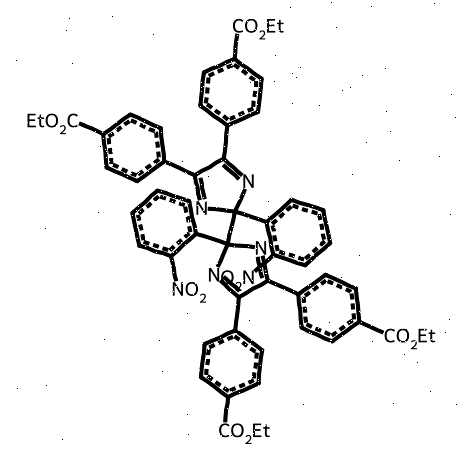 CCOC(=O)c1ccc(C2=NC(c3ccccc3[N+](=O)[O-])(C3(c4ccccc4[N+](=O)[O-])N=C(c4ccc(C(=O)OCC)cc4)C(c4ccc(C(=O)OCC)cc4)=N3)N=C2c2ccc(C(=O)OCC)cc2)cc1